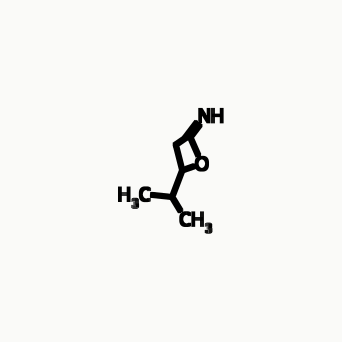 CC(C)C1CC(=N)O1